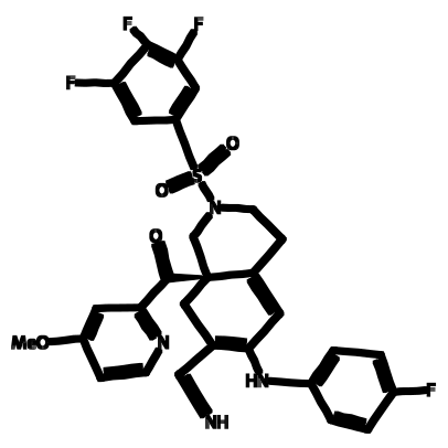 COc1ccnc(C(=O)[C@]23CC(C=N)=C(Nc4ccc(F)cc4)C=C2CCN(S(=O)(=O)c2cc(F)c(F)c(F)c2)C3)c1